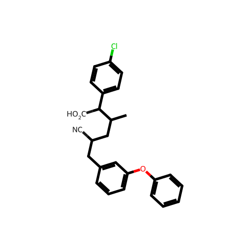 CC(CC(C#N)Cc1cccc(Oc2ccccc2)c1)C(C(=O)O)c1ccc(Cl)cc1